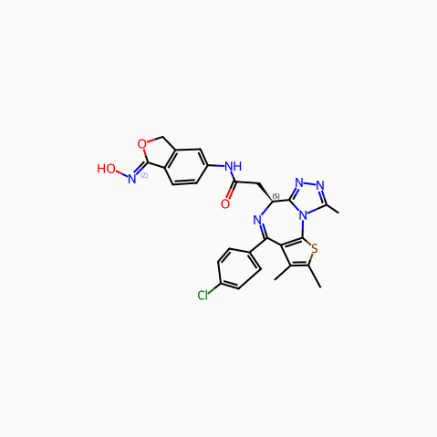 Cc1sc2c(c1C)C(c1ccc(Cl)cc1)=N[C@@H](CC(=O)Nc1ccc3c(c1)CO/C3=N\O)c1nnc(C)n1-2